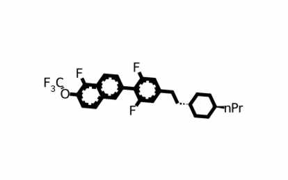 CCC[C@H]1CC[C@H](CCc2cc(F)c(-c3ccc4c(F)c(OC(F)(F)F)ccc4c3)c(F)c2)CC1